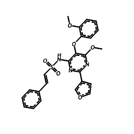 COc1ccccc1Oc1c(NS(=O)(=O)C=Cc2ccccc2)nc(-c2ccoc2)nc1OC